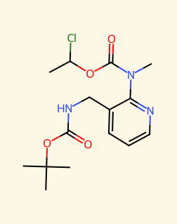 CC(Cl)OC(=O)N(C)c1ncccc1CNC(=O)OC(C)(C)C